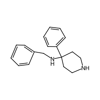 c1ccc(CNC2(c3ccccc3)CCNCC2)cc1